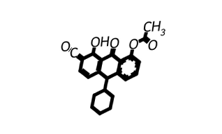 CC(=O)Oc1cccc2c1C(=O)C1=C(C=CC(=C=O)C1O)C2C1CCCCC1